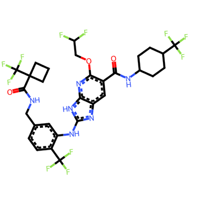 O=C(NC1CCC(C(F)(F)F)CC1)c1cc2nc(Nc3cc(CNC(=O)C4(C(F)(F)F)CCC4)ccc3C(F)(F)F)[nH]c2nc1OCC(F)F